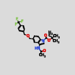 CC(=O)Nc1cn(C(=O)OC(C)(C)C)c2ccc(COCc3ccc(C(F)(F)F)cc3)cc12